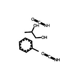 CC(O)CO.Cc1ccccc1.N=C=O.N=C=O